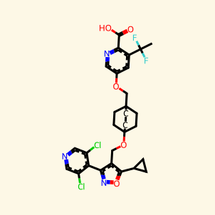 CC(F)(F)c1cc(OCC23CCC(OCc4c(-c5c(Cl)cncc5Cl)noc4C4CC4)(CC2)CC3)cnc1C(=O)O